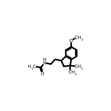 COc1ccc2c(c1)C(CCNC(C)=O)CC2(C)C